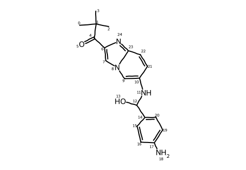 CC(C)(C)C(=O)c1cn2cc(NC(O)c3ccc(N)cc3)ccc2n1